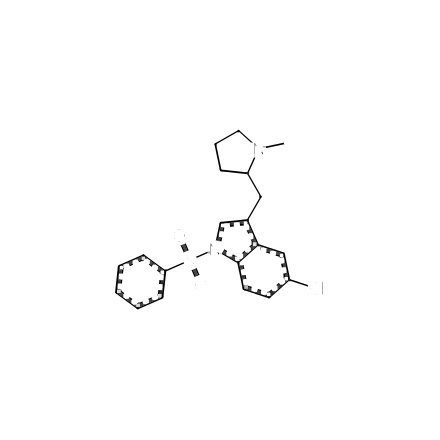 CN1CCCC1Cc1cn(S(=O)(=O)c2ccccc2)c2ccc(Cl)cc12